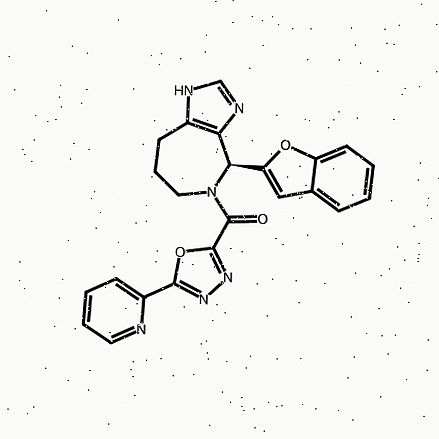 O=C(c1nnc(-c2ccccn2)o1)N1CCCc2[nH]cnc2[C@H]1c1cc2ccccc2o1